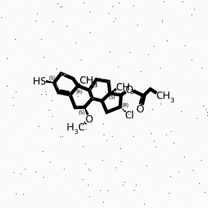 CCC(=O)OC1[C@H](Cl)CC2C3C(CC[C@@]21C)[C@@]1(C)CC[C@H](S)C=C1C[C@@H]3OC